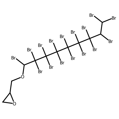 BrC(Br)C(Br)C(Br)(Br)C(Br)(Br)C(Br)(Br)C(Br)(Br)C(Br)(Br)C(Br)(Br)C(Br)OCC1CO1